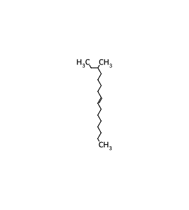 CCCCCCCC=CCCCCC(C)CC